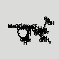 COc1cc2cc(c1Cl)N(C)C(=O)C[C@H](OC(=O)[C@H](C)N(C)C(=O)c1ccc(NC(=O)[C@H](CCCNC(N)=O)NC(=O)[C@@H](NC(=O)CCCCCN3C(=O)C=CC3O)C(C)C)cc1C(F)(F)F)[C@]1(C)O[C@H]1[C@H](C)[C@@H]1C[C@@](O)(NC(=O)O1)[C@H](OC)/C=C/C=C(\C)C2